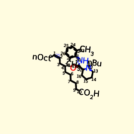 CCCCCCCC/C=C\CCCCCCCC(=O)O.CCCCN1CCCCC1C(=O)Nc1c(C)cccc1C